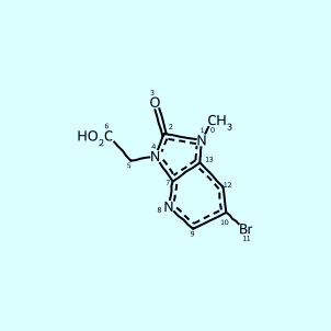 Cn1c(=O)n(CC(=O)O)c2ncc(Br)cc21